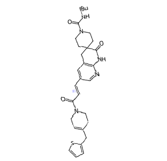 CC(C)(C)NC(=O)N1CCC2(CC1)Cc1cc(/C=C/C(=O)N3CC=C(Cc4cccs4)CC3)cnc1NC2=O